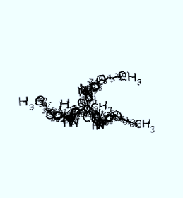 CCCCCCOc1ccc(-n2nnc3cc(-c4c(C)c(-c5ccc6c(c5)nnn6-c5ccc(OCCCCCC)cc5)c(C)c(-c5ccc6c(c5)nnn6-c5ccc(OCCCCCC)cc5)c4C)ccc32)cc1